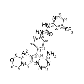 CC(=O)C1=C(CN2CCOCC2)N2N=CN=C(N)C2C1c1ccc(NC(=O)Nc2cc(C(F)(F)F)ccn2)cc1